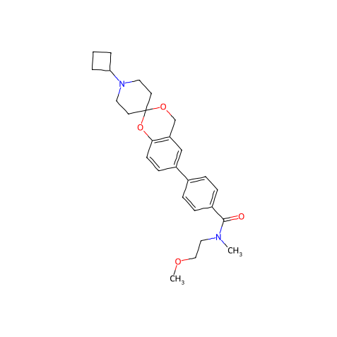 COCCN(C)C(=O)c1ccc(-c2ccc3c(c2)COC2(CCN(C4CCC4)CC2)O3)cc1